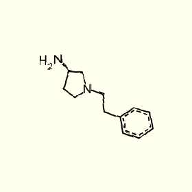 N[C@@H]1CCN(CCc2ccccc2)C1